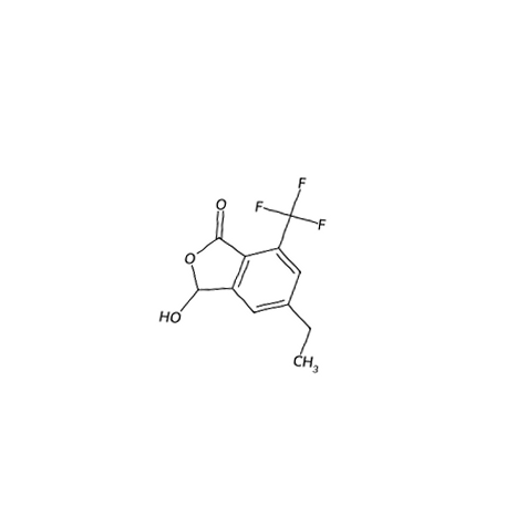 CCc1cc2c(c(C(F)(F)F)c1)C(=O)OC2O